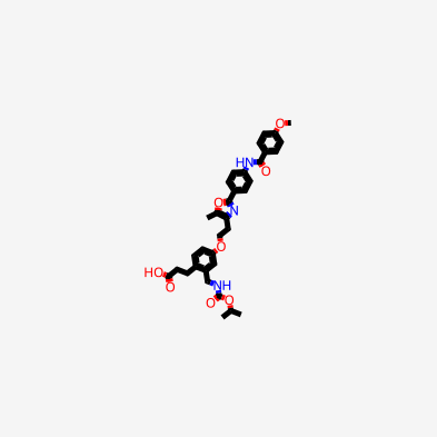 COc1ccc(C(=O)Nc2ccc(-c3nc(CCOc4ccc(CCC(=O)O)c(CNC(=O)OC(C)C)c4)c(C)o3)cc2)cc1